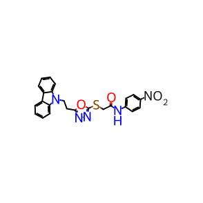 O=C(CSc1nnc(CCn2c3ccccc3c3ccccc32)o1)Nc1ccc([N+](=O)[O-])cc1